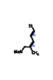 CC/C=C/C=C(/C)CNC